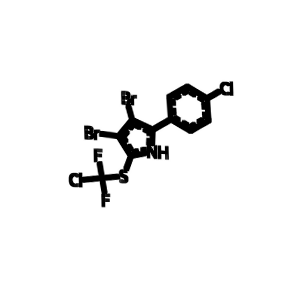 FC(F)(Cl)Sc1[nH]c(-c2ccc(Cl)cc2)c(Br)c1Br